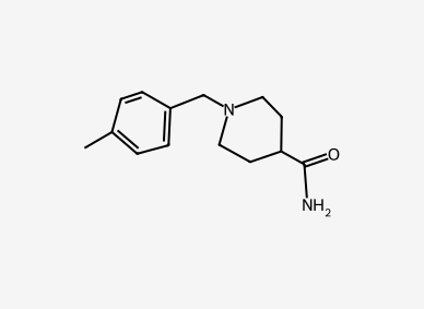 Cc1ccc(CN2CCC(C(N)=O)CC2)cc1